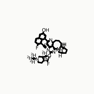 [2H]C([2H])([2H])N1CC[C@H](C(F)F)[C@](C)(C([2H])([2H])Oc2nc3c4c(nc(-c5cc(O)cc6ccc(F)c(C#C)c56)c(F)c4n2)CCC[C@@H]2[C@@H]4CC[C@H](CN32)N4)C1